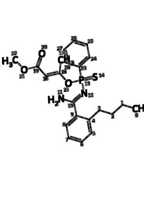 CCCCc1ccccc1C(N)=NP(=S)(OC(C)=CC(=O)OC)c1ccccc1